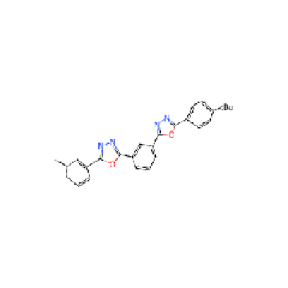 CC1C=C(c2nnc(-c3cccc(-c4nnc(-c5ccc(C(C)(C)C)cc5)o4)c3)o2)C=CC1